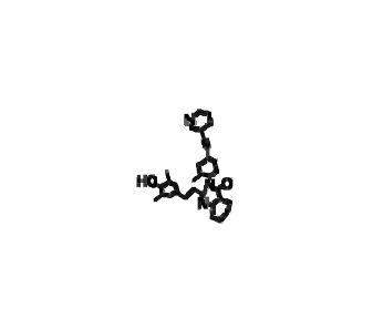 Cc1cc(C#Cc2cccnc2)ccc1-n1c(/C=C/c2cc(C)c(O)c(C)c2)nc2ccccc2c1=O